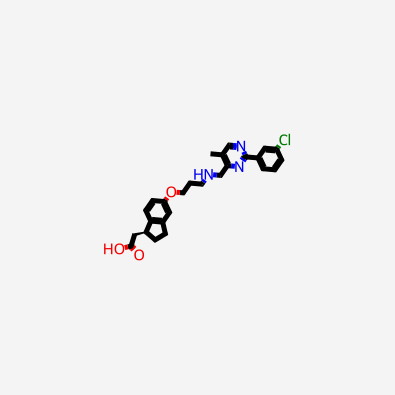 Cc1cnc(-c2cccc(Cl)c2)nc1CNCCCOc1ccc2c(c1)CC[C@H]2CC(=O)O